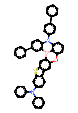 c1ccc(-c2ccc(N3c4ccc(-c5ccccc5)cc4B4c5cc6sc7cc(N(c8ccccc8)c8ccccc8)ccc7c6cc5Oc5cccc3c54)cc2)cc1